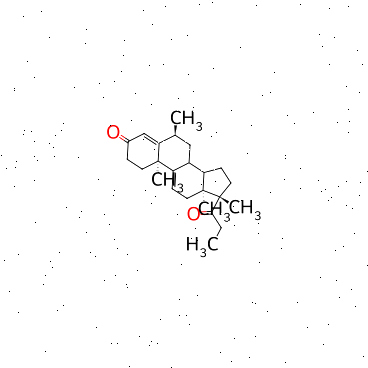 CCC(=O)[C@@]1(C)CCC2C3C[C@H](C)C4=CC(=O)CC[C@]4(C)C3=CC[C@@]21C